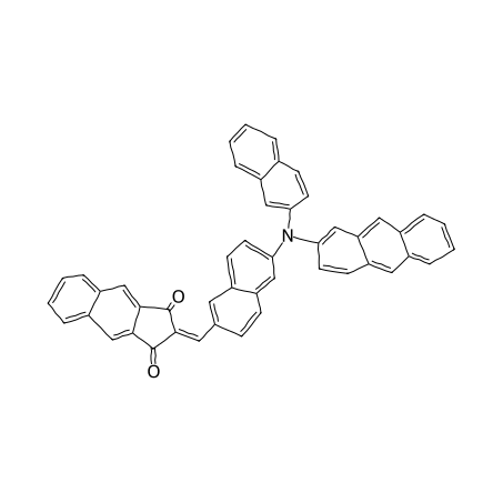 O=C1C(=Cc2ccc3cc(N(c4ccc5ccccc5c4)c4ccc5cc6ccccc6cc5c4)ccc3c2)C(=O)c2cc3ccccc3cc21